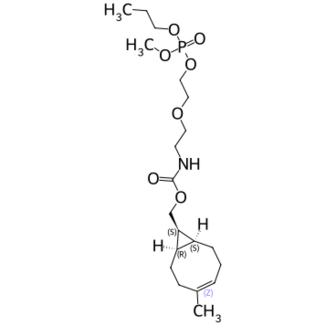 CCCOP(=O)(OC)OCCOCCNC(=O)OC[C@@H]1[C@@H]2CC/C(C)=C\CC[C@@H]21